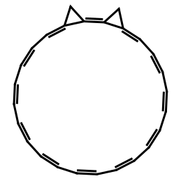 C1=CC=CC=CC=CC=CC=C2CC2=C2CC2=CC=CC=CC=CC=C1